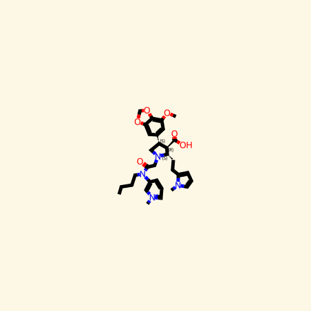 CCCCN(C(=O)CN1C[C@H](c2cc(OC)c3c(c2)OCO3)[C@@H](C(=O)O)[C@@H]1CCc1cccn1C)c1ccc[n+](C)c1